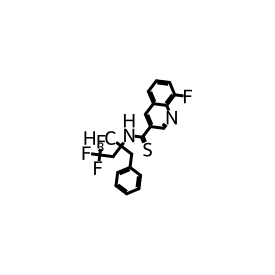 CC(Cc1ccccc1)(CC(F)(F)F)NC(=S)c1cnc2c(F)cccc2c1